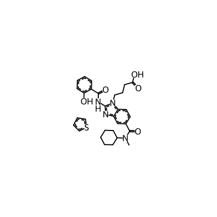 CN(C(=O)c1ccc2c(c1)nc(NC(=O)c1ccccc1O)n2CCCC(=O)O)C1CCCCC1.c1ccsc1